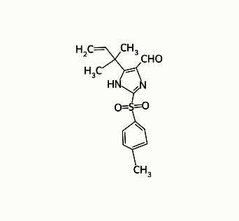 C=CC(C)(C)c1[nH]c(S(=O)(=O)c2ccc(C)cc2)nc1C=O